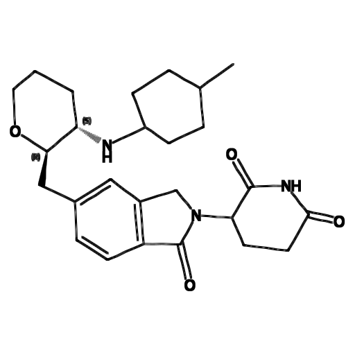 CC1CCC(N[C@H]2CCCO[C@@H]2Cc2ccc3c(c2)CN(C2CCC(=O)NC2=O)C3=O)CC1